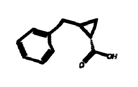 O=C(O)[C@H]1CC1Cc1ccccc1